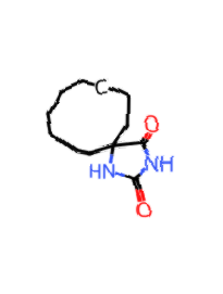 O=C1NC(=O)C2(CCCCCCCCC2)N1